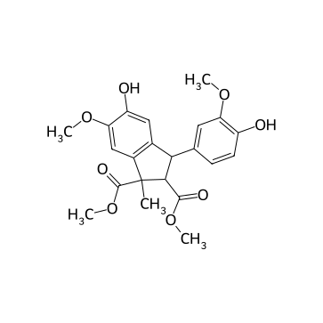 COC(=O)C1C(c2ccc(O)c(OC)c2)c2cc(O)c(OC)cc2C1(C)C(=O)OC